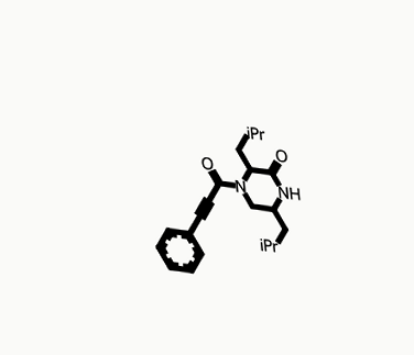 CC(C)CC1CN(C(=O)C#Cc2ccccc2)C(CC(C)C)C(=O)N1